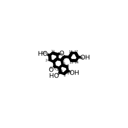 O=C1c2c(O)cc(O)cc2-c2c(-c3ccc(O)cc3)oc3cc(O)cc1c23